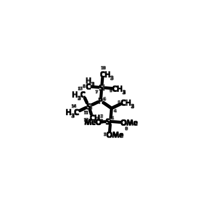 CO[Si](OC)(OC)C(C)P([Si](C)(C)C)[Si](C)(C)C